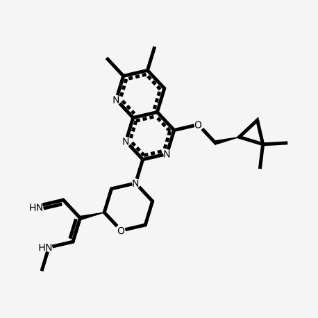 CN/C=C(\C=N)[C@H]1CN(c2nc(OC[C@H]3CC3(C)C)c3cc(C)c(C)nc3n2)CCO1